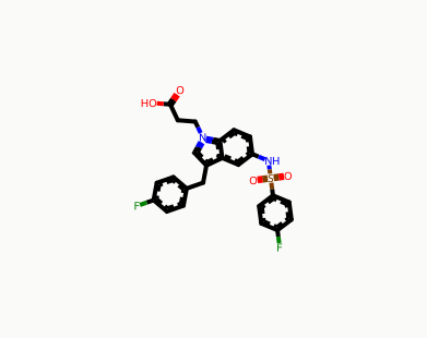 O=C(O)CCn1cc(Cc2ccc(F)cc2)c2cc(NS(=O)(=O)c3ccc(F)cc3)ccc21